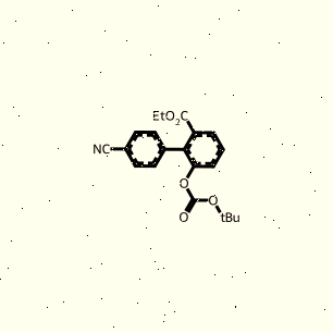 CCOC(=O)c1cccc(OC(=O)OC(C)(C)C)c1-c1ccc(C#N)cc1